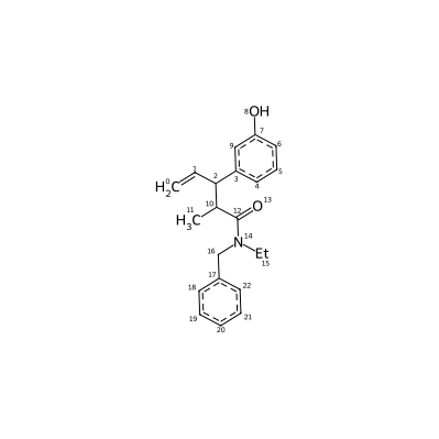 C=CC(c1cccc(O)c1)C(C)C(=O)N(CC)Cc1ccccc1